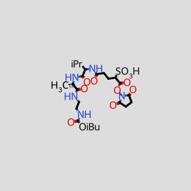 CC(C)COC(=O)NCCNC(=O)[C@H](C)NC(=O)C(NC(=O)CCC(C(=O)ON1C(=O)CCC1=O)S(=O)(=O)O)C(C)C